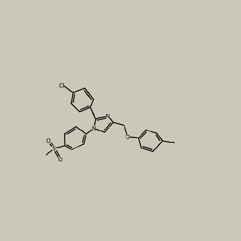 Cc1ccc(OCc2cn(-c3ccc(S(C)(=O)=O)cc3)c(-c3ccc(Cl)cc3)n2)cc1